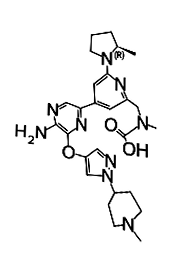 C[C@@H]1CCCN1c1cc(-c2cnc(N)c(Oc3cnn(C4CCN(C)CC4)c3)n2)cc(CN(C)C(=O)O)n1